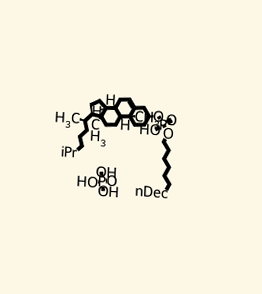 CCCCCCCCCCCCCCCCOP(=O)(O)O[C@H]1CC[C@@]2(C)C(=CC[C@H]3[C@@H]4CC[C@H]([C@H](C)CCCC(C)C)[C@@]4(C)CC[C@@H]32)C1.O=P(O)(O)O